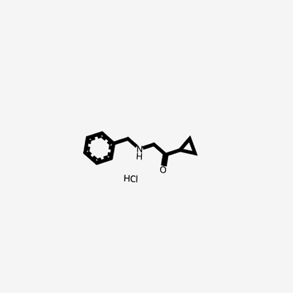 Cl.O=C(CNCc1ccccc1)C1CC1